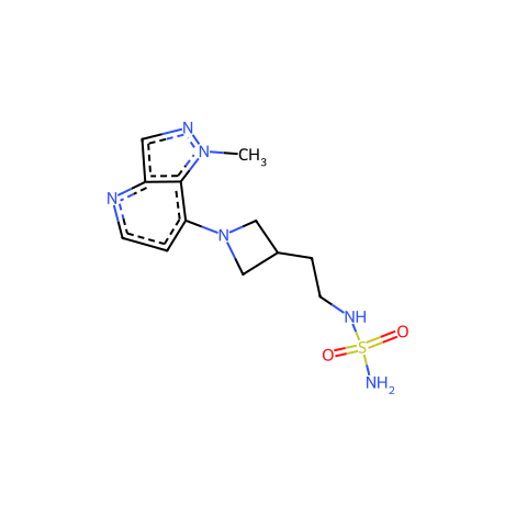 Cn1ncc2nccc(N3CC(CCNS(N)(=O)=O)C3)c21